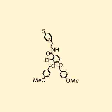 COc1ccc(COc2ccc(C(=O)NCCn3ccc(=S)cc3)c(Cl)c2OCc2ccc(OC)cc2)cc1